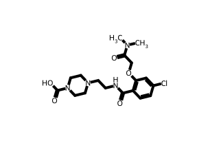 CN(C)C(=O)COc1cc(Cl)ccc1C(=O)NCCN1CCN(C(=O)O)CC1